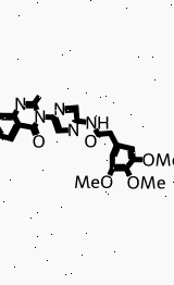 COc1cc(CC(=O)Nc2cnc(-n3c(C)nc4ccccc4c3=O)cn2)cc(OC)c1OC